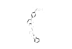 NC(=O)c1ccc(-c2ccnc(NCCNc3nc4ccccc4s3)n2)cc1